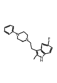 Cc1[nH]c2ccc(F)cc2c1CCN1CCN(c2ccccc2)CC1